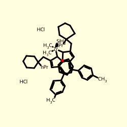 CCCC1(CC2=Cc3c(-c4ccc(C)cc4)cccc3[CH]2[Zr]([CH3])([CH3])(=[SiH2])[CH]2C(CC3(CCC)CCCCC3)=Cc3c(-c4ccc(C)cc4)cccc32)CCCCC1.Cl.Cl